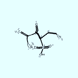 C=C(C)C(=O)C(CC)S(=O)(=O)O